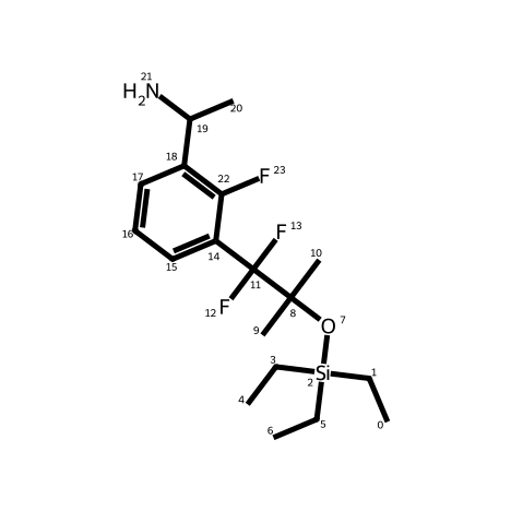 CC[Si](CC)(CC)OC(C)(C)C(F)(F)c1cccc(C(C)N)c1F